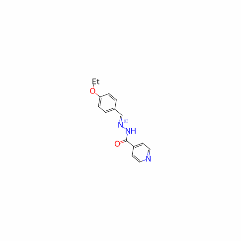 CCOc1ccc(/C=N/NC(=O)c2ccncc2)cc1